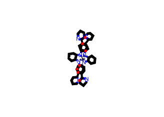 c1ccc(-c2ccc(N3c4ccccc4N(c4ccc(-c5ccccn5)cc4)[Si]34N(c3ccc(-c5ccccn5)cc3)c3ccccc3N4c3ccc(-c4ccccn4)cc3)cc2)nc1